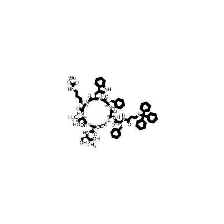 C[C@@H](O)[C@@H]1NC(=O)[C@H](CCCCNC(=O)OC(C)(C)C)NC(=O)[C@@H](Cc2c[nH]c3ccccc23)NC(=O)[C@H](Cc2ccccc2)NC(=O)[C@@H](NC(=O)[C@@H](Cc2ccccc2)NC(=O)CCSC(c2ccccc2)(c2ccccc2)c2ccccc2)CSSC[C@@H](C(=O)N[C@H](CO)[C@@H](C)O)NC1=O